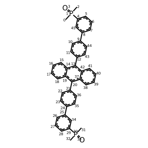 CP(C)(=O)c1cccc(-c2ccc(-c3c4ccccc4c(-c4ccc(-c5cccc(P(C)(C)=O)c5)cc4)c4ccccc34)cc2)c1